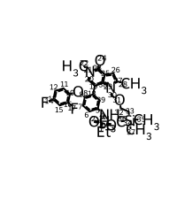 CCS(=O)(=O)Nc1ccc(Oc2ccc(F)cc2F)c(-c2cn(C)c(=O)c3cc(C)n(COCC[Si](C)(C)C)c23)c1